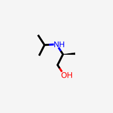 CC(C)N[C@@H](C)CO